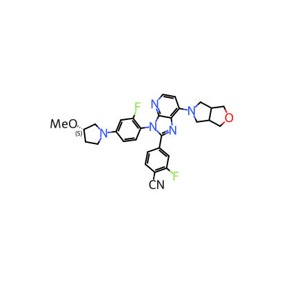 CO[C@H]1CCN(c2ccc(-n3c(-c4ccc(C#N)c(F)c4)nc4c(N5CC6COCC6C5)ccnc43)c(F)c2)C1